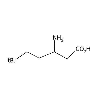 CC(C)(C)CCC(N)CC(=O)O